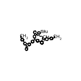 C=Cc1ccc(C2=CC=C3C(C2)c2cc(-c4ccc(N(c5ccc(-c6ccccc6)cc5)C5C=C6C(CC5)C5C=CC=CC5C6(CCCCC(C)COC5=CCC(c6ccc(C=C)cc6)CC5)c5ccc(C(C)(C)C)cc5)cc4)ccc2N3c2ccccc2)cc1